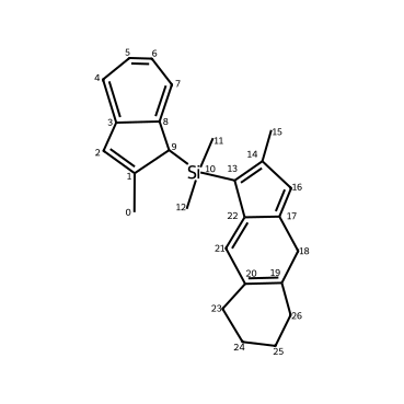 CC1=Cc2ccccc2C1[Si](C)(C)C1=C(C)C=C2CC3=C(C=C21)CCCC3